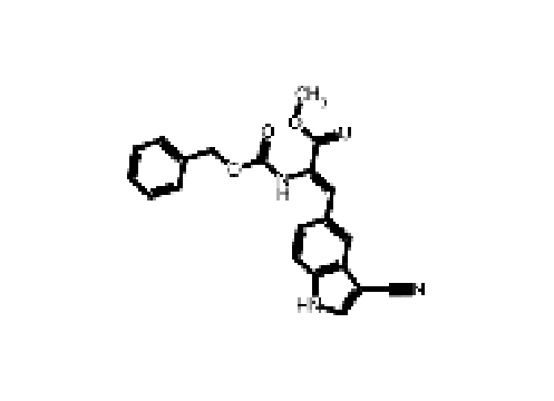 COC(=O)/C(=C/c1ccc2[nH]cc(C#N)c2c1)NC(=O)OCc1ccccc1